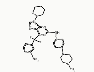 CN1CCN(c2ccc(Nc3nc(C(F)(F)c4cccc(N)c4)c4ncn(C5CCCCO5)c4n3)cc2)CC1